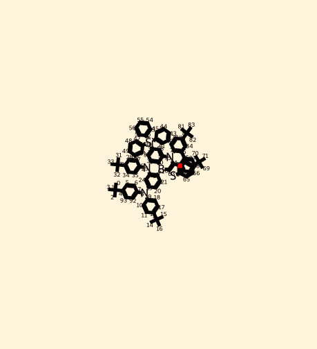 CC(C)(C)c1ccc(N(c2ccc(C(C)(C)C)cc2)c2ccc3c(c2)N(c2ccc(C(C)(C)C)cc2)c2cc([Si](c4ccccc4)(c4ccccc4)c4ccccc4)cc4c2B3c2sc3ccc(C(C)(C)C)cc3c2N4c2ccc(C(C)(C)C)cc2-c2ccccc2)cc1